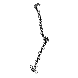 CCCOCCOCCOCCOCCOCCOCCOCCn1cc(COCCOCCOCCOCCOCCOCCN2C(=O)C=CC2=O)nn1